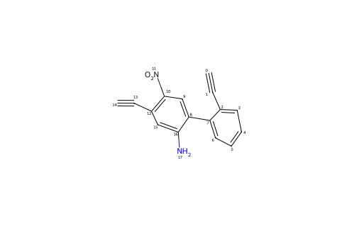 C#Cc1ccccc1-c1cc([N+](=O)[O-])c(C#C)cc1N